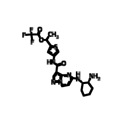 CC(OC(=O)C(F)(F)F)c1cc(NC(=O)c2cnn3ccc(N[C@@H]4CCCC[C@@H]4N)nc23)cs1